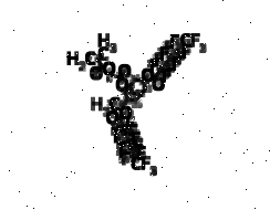 C=C(C)C(=O)OCC(=O)OC12CC(CC(OC(=O)C(F)(F)C(F)(F)C(F)(F)C(F)(F)C(F)(F)C(F)(F)F)C1)CC(C(C)OC(=O)C(F)(F)C(F)(F)C(F)(F)C(F)(F)C(F)(F)C(F)(F)F)C2